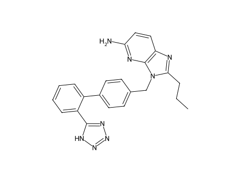 CCCc1nc2ccc(N)nc2n1Cc1ccc(-c2ccccc2-c2nnn[nH]2)cc1